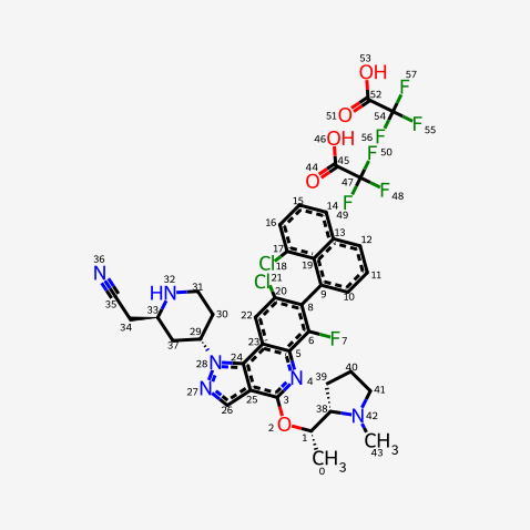 C[C@H](Oc1nc2c(F)c(-c3cccc4cccc(Cl)c34)c(Cl)cc2c2c1cnn2[C@H]1CCN[C@H](CC#N)C1)[C@@H]1CCCN1C.O=C(O)C(F)(F)F.O=C(O)C(F)(F)F